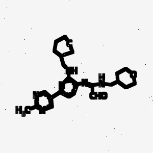 Cc1ncc(-c2ccc(/N=C(\C=O)NCC3CCOCC3)c(NCC3CCCCC3)n2)cn1